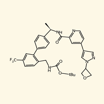 C[C@@H](NC(=O)c1cc(-c2cnn(C3COC3)c2)ccn1)c1ccc(-c2cc(C(F)(F)F)ccc2CNC(=O)OC(C)(C)C)cc1